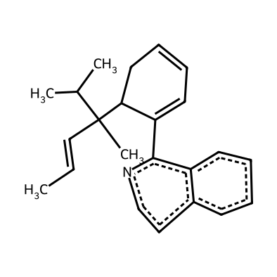 CC=CC(C)(C(C)C)C1CC=CC=C1c1nccc2ccccc12